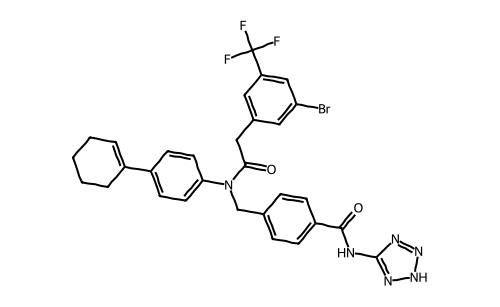 O=C(Nc1nn[nH]n1)c1ccc(CN(C(=O)Cc2cc(Br)cc(C(F)(F)F)c2)c2ccc(C3=CCCCC3)cc2)cc1